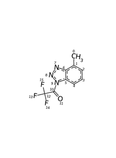 Cc1cccc2c1nnn2C(=O)C(F)(F)F